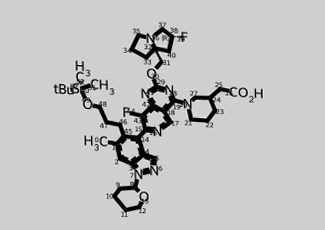 Cc1cc2c(cnn2C2CCCCO2)c(-c2ncc3c(N4CCCC(CC(=O)O)C4)nc(OC[C@@]45CCCN4C[C@H](F)C5)nc3c2F)c1CCCO[Si](C)(C)C(C)(C)C